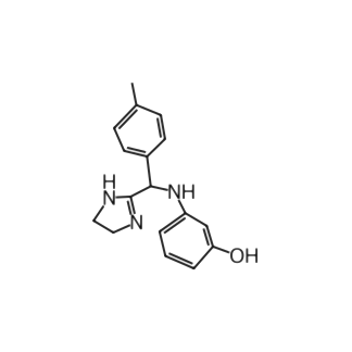 Cc1ccc(C(Nc2cccc(O)c2)C2=NCCN2)cc1